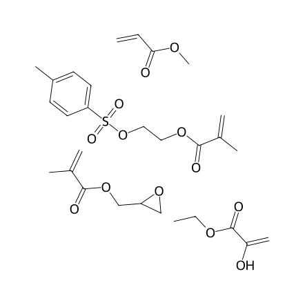 C=C(C)C(=O)OCC1CO1.C=C(C)C(=O)OCCOS(=O)(=O)c1ccc(C)cc1.C=C(O)C(=O)OCC.C=CC(=O)OC